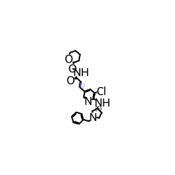 O=C(/C=C/c1cnc(N[C@H]2CCN(Cc3ccccc3)C2)c(Cl)c1)NOC1CCCCO1